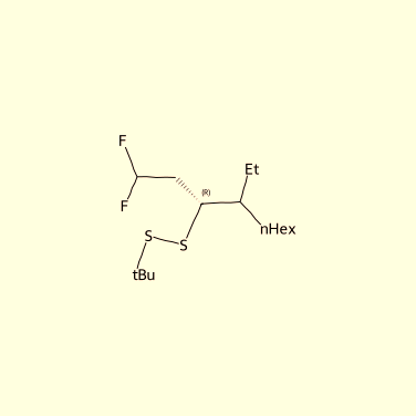 CCCCCCC(CC)[C@@H](CC(F)F)SSC(C)(C)C